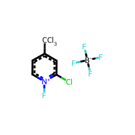 F[B-](F)(F)F.F[n+]1ccc(C(Cl)(Cl)Cl)cc1Cl